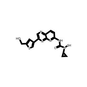 O=C(Nc1ccc2ncc(-c3csc(CO)c3)nc2n1)N(S)C1CC1